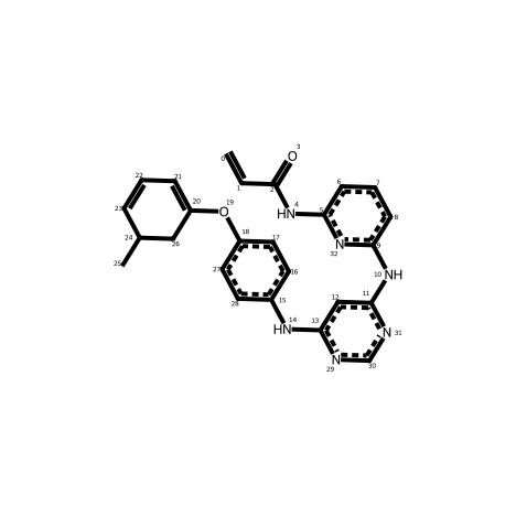 C=CC(=O)Nc1cccc(Nc2cc(Nc3ccc(OC4=CC=CC(C)C4)cc3)ncn2)n1